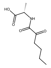 CCCCC(=O)C(=O)N[C@@H](C)C(=O)O